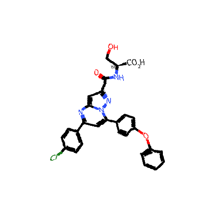 O=C(N[C@@H](CO)C(=O)O)c1cc2nc(-c3ccc(Cl)cc3)cc(-c3ccc(Oc4ccccc4)cc3)n2n1